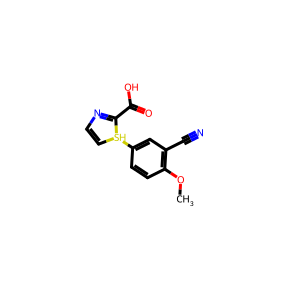 COc1ccc([SH]2C=CN=C2C(=O)O)cc1C#N